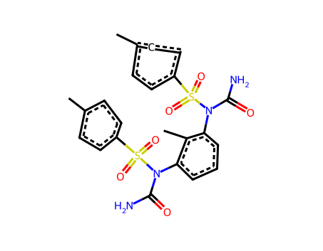 Cc1ccc(S(=O)(=O)N(C(N)=O)c2cccc(N(C(N)=O)S(=O)(=O)c3ccc(C)cc3)c2C)cc1